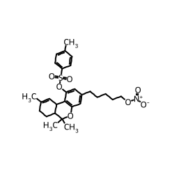 CC1=CC2c3c(cc(CCCCCO[N+](=O)[O-])cc3OS(=O)(=O)c3ccc(C)cc3)OC(C)(C)C2CC1